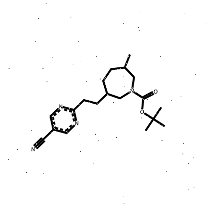 CC1CCC(CCc2ncc(C#N)cn2)CN(C(=O)OC(C)(C)C)C1